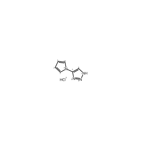 Cl.c1ccn(-c2c[nH]nn2)c1